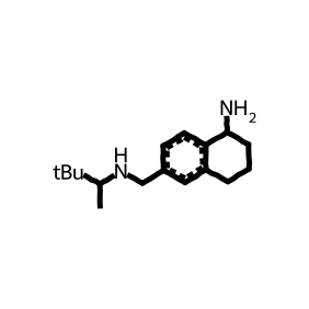 CC(NCc1ccc2c(c1)CCCC2N)C(C)(C)C